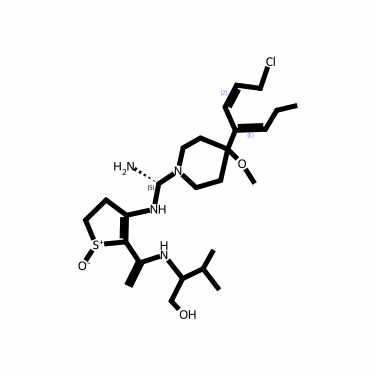 C=C(NC(CO)C(C)C)C1=C(N[C@H](N)N2CCC(OC)(C(/C=C\CCl)=C/CC)CC2)CC[S+]1[O-]